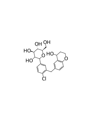 OC[C@H]1OC(c2ccc(Cl)c(Cc3ccc4c(c3)C(O)CCO4)c2)C(O)[C@@H](O)[C@@H]1O